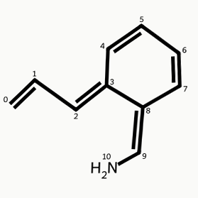 C=C/C=c1\cccc\c1=C\N